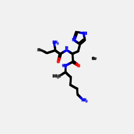 CC(C)CC(N)C(=O)NC(Cc1c[nH]cn1)C(=O)NC(CCCCN)C(=O)O.[Cu]